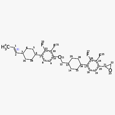 C/C=C/C1CCC(c2ccc(OCC3CCC(c4ccc(C5CO5)c(F)c4F)CC3)c(F)c2F)CC1